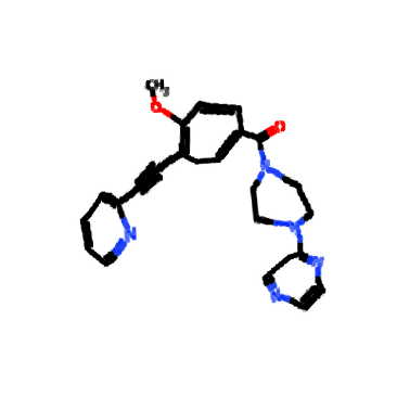 COc1ccc(C(=O)N2CCN(c3cnccn3)CC2)cc1C#Cc1ccccn1